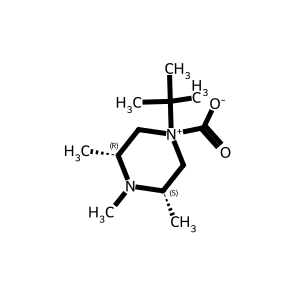 C[C@@H]1C[N+](C(=O)[O-])(C(C)(C)C)C[C@H](C)N1C